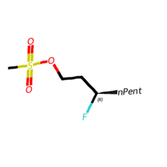 CCCCC[C@@H](F)CCOS(C)(=O)=O